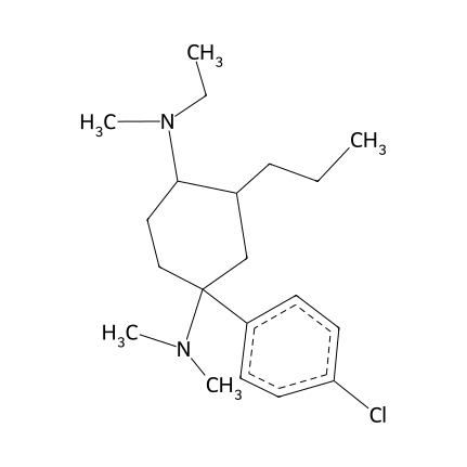 CCCC1CC(c2ccc(Cl)cc2)(N(C)C)CCC1N(C)CC